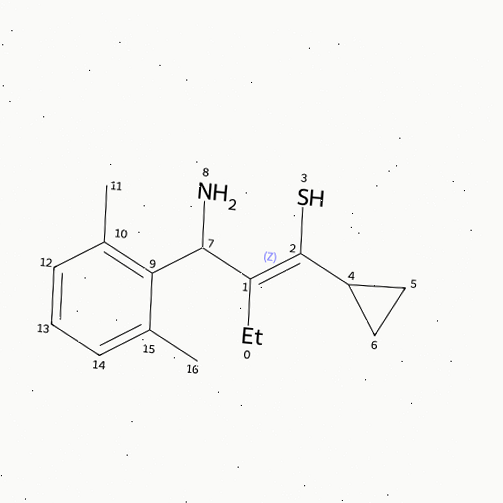 CC/C(=C(/S)C1CC1)C(N)c1c(C)cccc1C